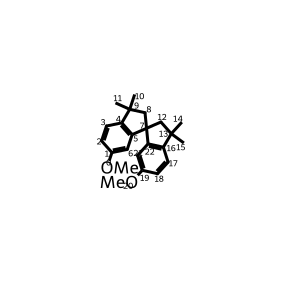 COc1ccc2c(c1)C1(CC2(C)C)CC(C)(C)c2ccc(OC)cc21